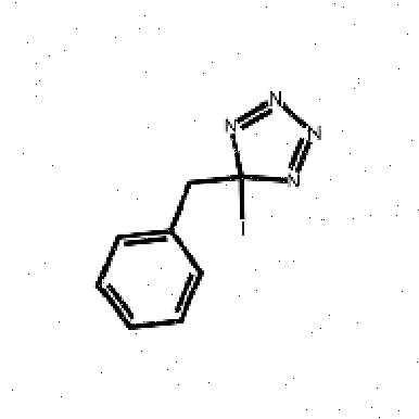 IC1(Cc2ccccc2)N=NN=N1